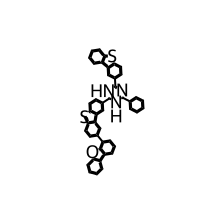 c1ccc(C2N=C(c3ccc4sc5ccccc5c4c3)NC(c3ccc4sc5ccc(-c6cccc7c6oc6ccccc67)cc5c4c3)N2)cc1